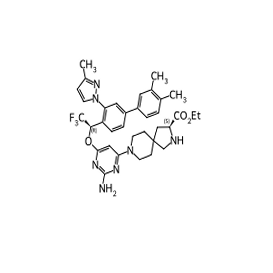 CCOC(=O)[C@@H]1CC2(CCN(c3cc(O[C@H](c4ccc(-c5ccc(C)c(C)c5)cc4-n4ccc(C)n4)C(F)(F)F)nc(N)n3)CC2)CN1